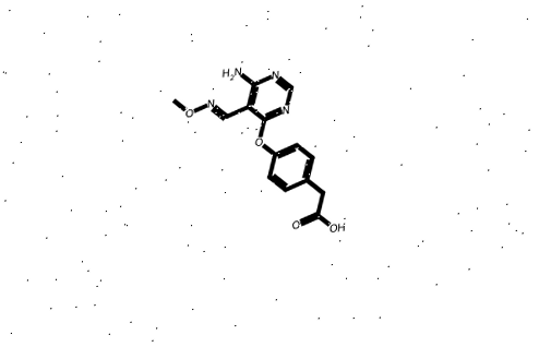 CON=Cc1c(N)ncnc1Oc1ccc(CC(=O)O)cc1